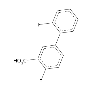 O=C(O)c1cc(-c2ccccc2F)ccc1F